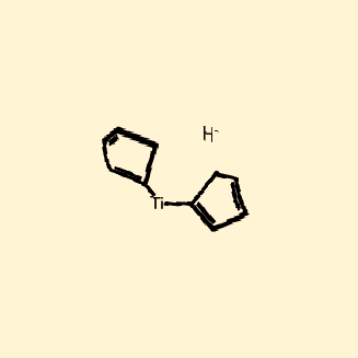 C1=CC[C]([Ti][C]2=CC=CC2)=C1.[H-]